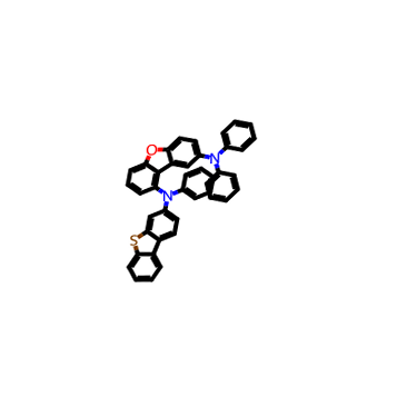 c1ccc(N(c2ccccc2)c2ccc3oc4cccc(N(c5ccccc5)c5ccc6c(c5)sc5ccccc56)c4c3c2)cc1